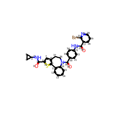 O=C(NC1CC1)c1cc2c(s1)-c1ccccc1N(C(=O)c1ccc(NC(=O)c3cccnc3Br)cc1)CC2